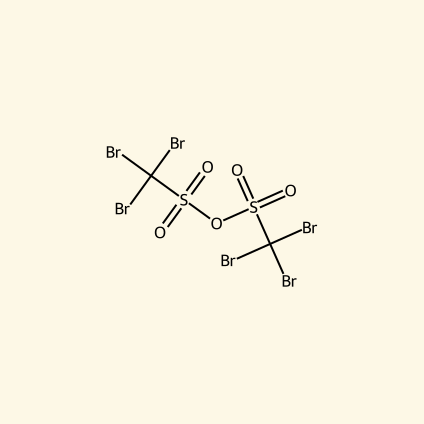 O=S(=O)(OS(=O)(=O)C(Br)(Br)Br)C(Br)(Br)Br